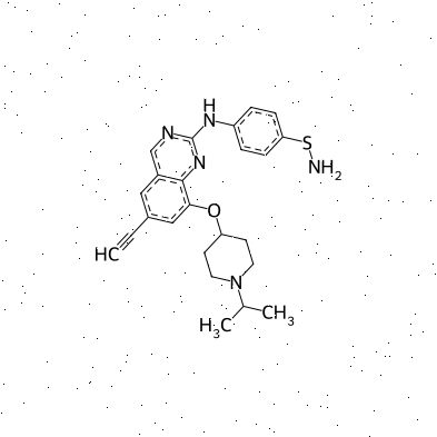 C#Cc1cc(OC2CCN(C(C)C)CC2)c2nc(Nc3ccc(SN)cc3)ncc2c1